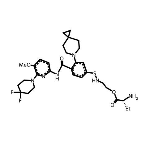 CC[C@@H](N)C(=O)OCCNSc1ccc(C(=O)Nc2ccc(OC)c(N3CCC(F)(F)CC3)n2)c(N2CCC3(CC2)CC3)c1